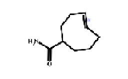 NC(=O)C1CC/C=C/CCC1